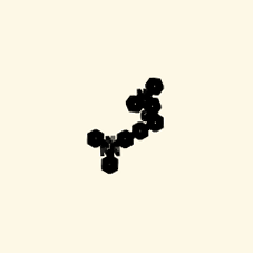 c1ccc(-c2nc(-c3ccccc3)nc(-c3ccc(-c4ccc(-c5cccc6c5oc5c6ccc6c(-c7ccccc7)nc7ccccc7c65)cc4)cc3)n2)cc1